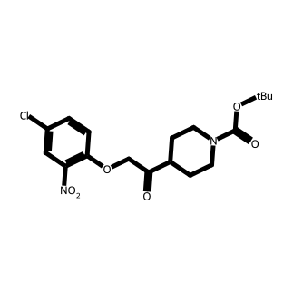 CC(C)(C)OC(=O)N1CCC(C(=O)COc2ccc(Cl)cc2[N+](=O)[O-])CC1